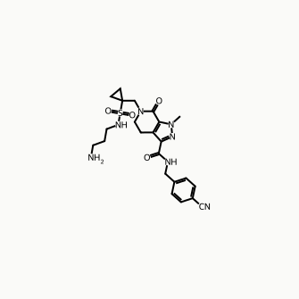 Cn1nc(C(=O)NCc2ccc(C#N)cc2)c2c1C(=O)N(CC1(S(=O)(=O)NCCCN)CC1)CC2